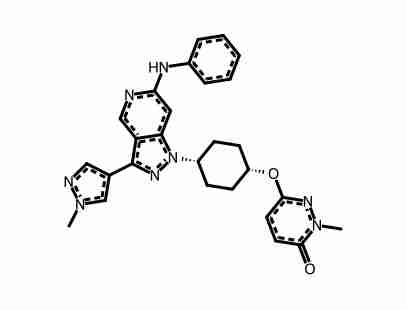 Cn1cc(-c2nn([C@H]3CC[C@@H](Oc4ccc(=O)n(C)n4)CC3)c3cc(Nc4ccccc4)ncc23)cn1